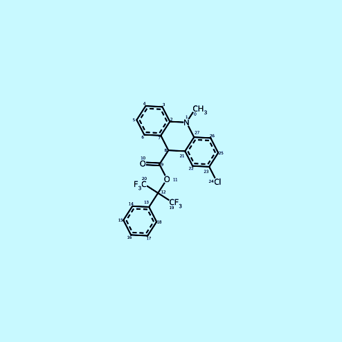 CN1c2ccccc2C(C(=O)OC(c2ccccc2)(C(F)(F)F)C(F)(F)F)c2cc(Cl)ccc21